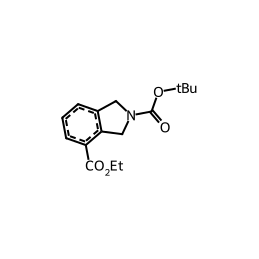 CCOC(=O)c1cccc2c1CN(C(=O)OC(C)(C)C)C2